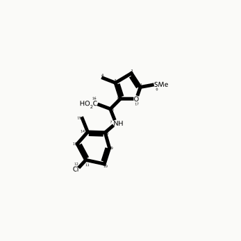 CSc1cc(C)c(C(Nc2ccc(Cl)cc2C)C(=O)O)o1